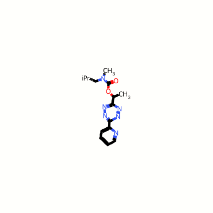 CC(C)CN(C)C(=O)OC(C)c1nnc(-c2ccccn2)nn1